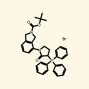 CC(C)(C)OC(=O)N1Cc2cccc(N3CCC([P+](c4ccccc4)(c4ccccc4)c4ccccc4)C3=O)c2C1.[Br-]